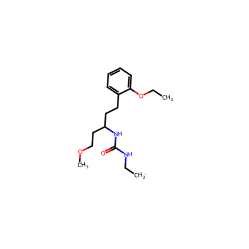 [CH2]CNC(=O)NC(CCOC)CCc1ccccc1OCC